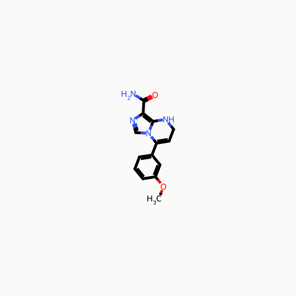 COc1cccc(C2=CCNc3c(C(N)=O)ncn32)c1